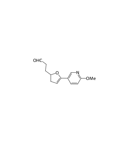 COc1ccc(C2=CCC(CCC=O)O2)cn1